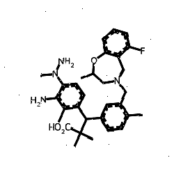 Cc1ccc(C(c2ccc(N(C)N)c(N)c2C)C(C)(C)C(=O)O)cc1CN1Cc2c(F)cccc2OC(C)C1